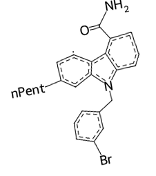 CCCCCc1c[c]c2c3c(C(N)=O)cccc3n(Cc3cccc(Br)c3)c2c1